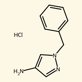 Cl.Nc1cnn(Cc2ccccc2)c1